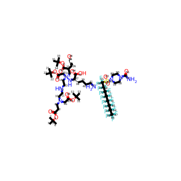 CC(C)(C)OC(=O)CCN(CCNCC[N+](CC(=O)OC(C)(C)C)(CC(C=C=O)C(=O)OC(C)(C)C)N[C@@H](CCCCN)C(=O)O)CC(=O)OC(C)(C)C.NC(=O)N1CCN(S(=O)(=O)C(F)(F)C(F)(F)C(F)(F)C(F)(F)C(F)(F)C(F)(F)C(F)(F)C(F)(F)F)CC1